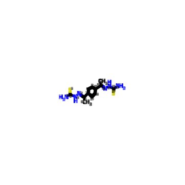 C/C(=N\NC(N)=S)c1ccc(/C(C)=N/NC(N)=S)cc1